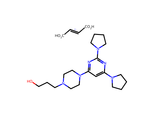 O=C(O)/C=C/C(=O)O.OCCCN1CCN(c2cc(N3CCCC3)nc(N3CCCC3)n2)CC1